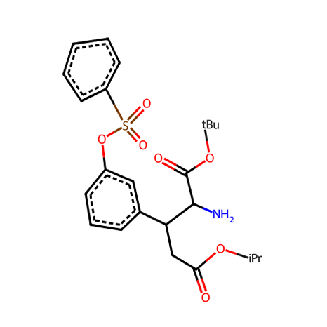 CC(C)OC(=O)CC(c1cccc(OS(=O)(=O)c2ccccc2)c1)C(N)C(=O)OC(C)(C)C